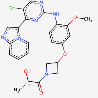 COc1cc(OC2CN(C(=O)[C@H](C)O)C2)ccc1Nc1ncc(Cl)c(-c2cnc3ccccn23)n1